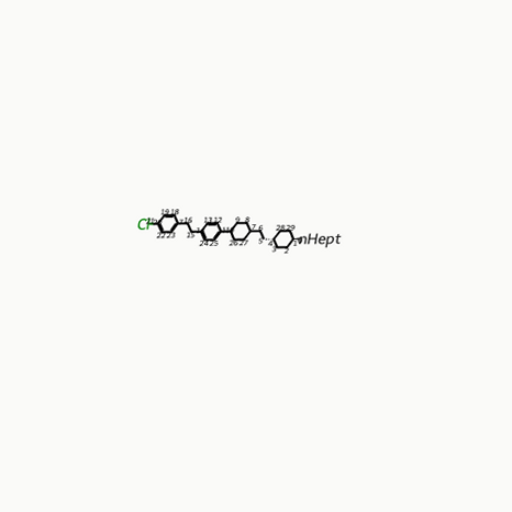 CCCCCCC[C@H]1CC[C@H](CCC2CCC(c3ccc(CCc4ccc(Cl)cc4)cc3)CC2)CC1